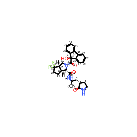 N#C[C@H](C[C@@H]1CCNC1=O)NC(=O)[C@@H]1[C@H]2CCC(F)(F)[C@H]2CN1C(=O)C1(O)c2ccccc2-c2ccccc21